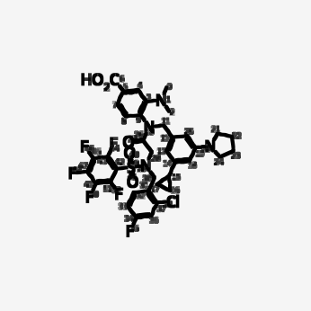 CN(C)c1cc(C(=O)O)ccc1N(Cc1cc(C2CC2)cc(N2CCCC2)c1)C(=O)CN(Cc1ccc(F)cc1Cl)S(=O)(=O)c1c(F)c(F)c(F)c(F)c1F